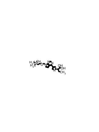 CCC(C(O)O)n1cc(-c2ncnc3c2ccn3COCC[Si](C)(C)C)cn1